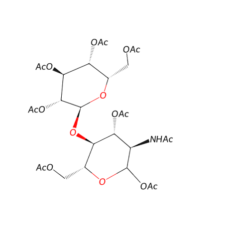 CC(=O)N[C@H]1C(OC(C)=O)O[C@H](COC(C)=O)[C@@H](O[C@@H]2O[C@@H](COC(C)=O)[C@@H](OC(C)=O)[C@H](OC(C)=O)[C@H]2OC(C)=O)[C@@H]1OC(C)=O